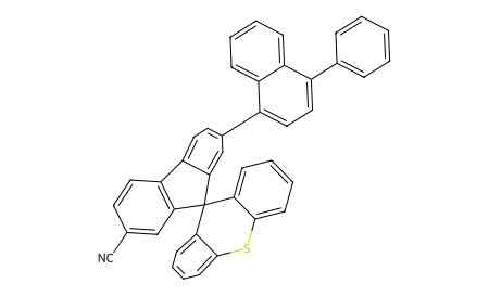 N#Cc1ccc2c(c1)C1(c3ccccc3Sc3ccccc31)c1cc(-c3ccc(-c4ccccc4)c4ccccc34)ccc1-2